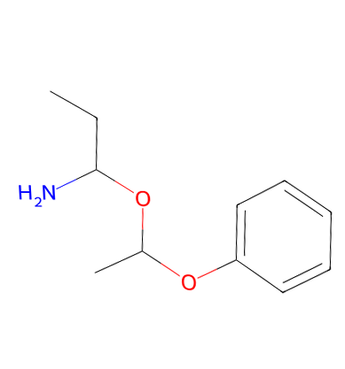 CCC(N)OC(C)Oc1ccccc1